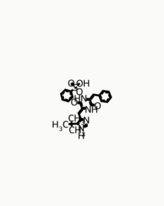 CC(C)(C)c1[nH]cnc1C=c1[nH]c(=O)c(=Cc2ccccc2)[nH]c1=O.O=S(=O)(O)c1ccccc1